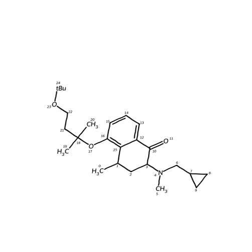 CC1CC(N(C)CC2CC2)C(=O)c2cccc(OC(C)(C)CCOC(C)(C)C)c21